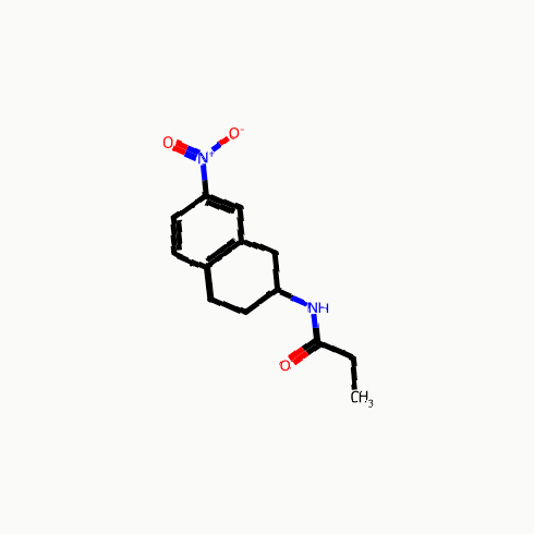 CCC(=O)NC1CCc2ccc([N+](=O)[O-])cc2C1